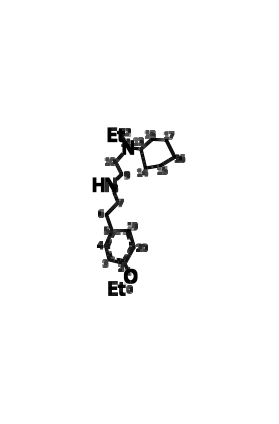 CCOc1ccc(CCNCCN(CC)C2CCCCC2)cc1